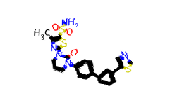 Cc1nc(N2CCCN(c3ccc(-c4cccc(-c5cncs5)c4)cc3)C2=O)sc1S(N)(=O)=O